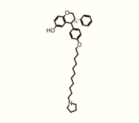 Oc1ccc2c(c1)C(c1ccc(OCCCCCCCCCCCN3CCCC3)cc1)[C@@H](c1ccccc1)CO2